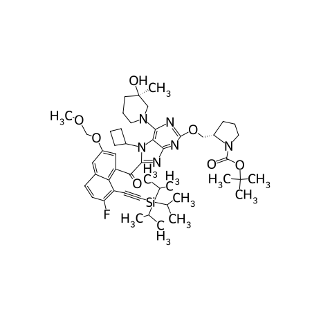 COCOc1cc(C(=O)c2nc3nc(OC[C@@H]4CCCN4C(=O)OC(C)(C)C)nc(N4CCC[C@@](C)(O)C4)c3n2C2CCC2)c2c(C#C[Si](C(C)C)(C(C)C)C(C)C)c(F)ccc2c1